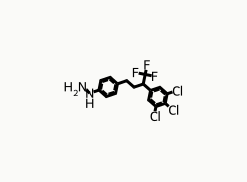 NNc1ccc(CCC(c2cc(Cl)c(Cl)c(Cl)c2)C(F)(F)F)cc1